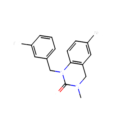 CN1Cc2cc([N+](=O)[O-])ccc2N(Cc2cccc(C(F)(F)F)c2)C1=O